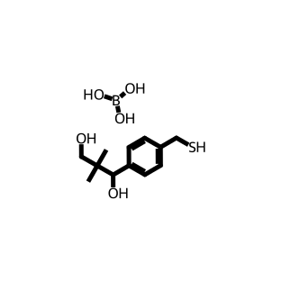 CC(C)(CO)C(O)c1ccc(CS)cc1.OB(O)O